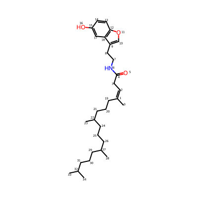 CC(=CCC(=O)NCCc1coc2ccc(O)cc12)CCCC(C)CCCC(C)CCCC(C)C